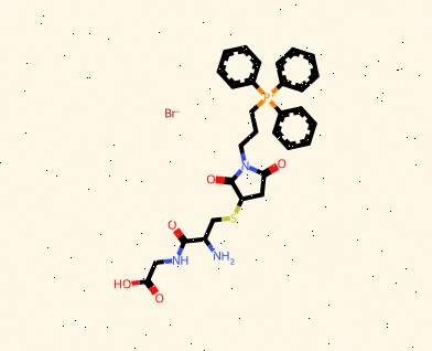 NC(CSC1CC(=O)N(CCC[P+](c2ccccc2)(c2ccccc2)c2ccccc2)C1=O)C(=O)NCC(=O)O.[Br-]